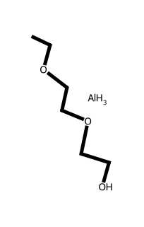 CCOCCOCCO.[AlH3]